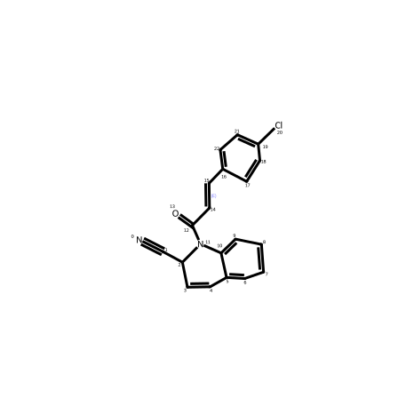 N#CC1C=Cc2ccccc2N1C(=O)/C=C/c1ccc(Cl)cc1